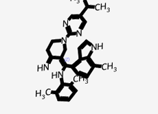 Cc1cccc(C)c1N/C(=C1/CN(c2ncc(C(C)C)cn2)CCC1=N)c1ccc(C)c2[nH]ccc12